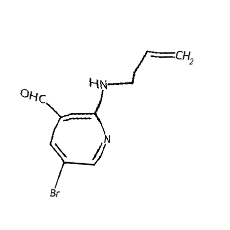 C=CCNc1ncc(Br)cc1C=O